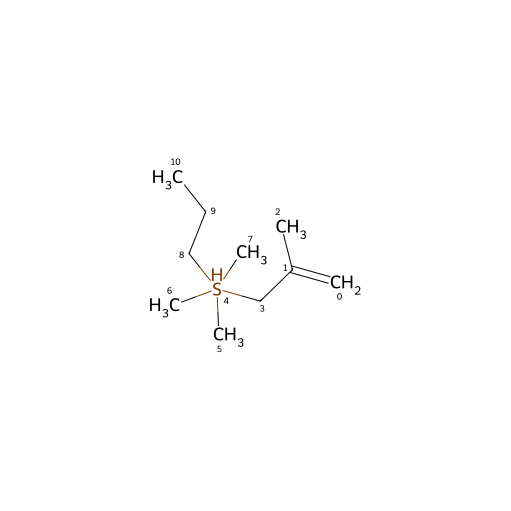 C=C(C)C[SH](C)(C)(C)CCC